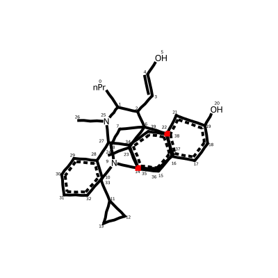 CCCC(C(C=CO)C12CCN(CC3CC3)C(Cc3ccc(O)cc31)C2C)N(C)C(c1ccccc1)c1ccccc1